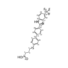 O=C(O)CCCSc1ccc(-c2ccc(-c3nc4cc(C(F)(F)F)ccc4[nH]3)cc2)cc1